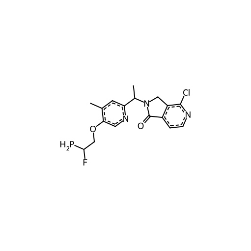 Cc1cc(C(C)N2Cc3c(ccnc3Cl)C2=O)ncc1OCC(F)P